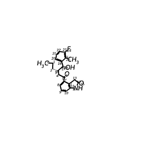 CCC[C@@H](CC(=O)c1cccc2c1CC(=O)N2)[C@@H](O)c1cccc(F)c1C